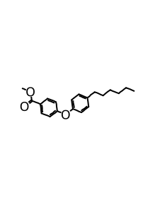 CCCCCCc1ccc(Oc2ccc(C(=O)OC)cc2)cc1